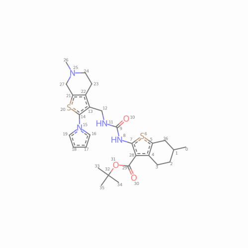 CC1CCc2c(sc(NC(=O)NCc3c(-n4cccc4)sc4c3CCN(C)C4)c2C(=O)OC(C)(C)C)C1